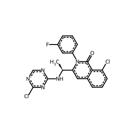 C[C@H](Nc1ncnc(Cl)n1)c1cc2cccc(Cl)c2c(=O)n1-c1cccc(F)c1